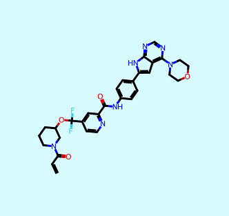 C=CC(=O)N1CCCC(OC(F)(F)c2ccnc(C(=O)Nc3ccc(-c4cc5c(N6CCOCC6)ncnc5[nH]4)cc3)c2)C1